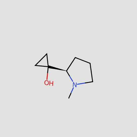 CN1CCC[C@@H]1C1(O)CC1